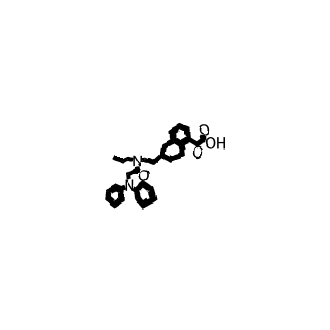 CCCN(CCC1CCc2c(cccc2C(=O)C(=O)O)C1)C(=O)CN(c1ccccc1)c1ccccc1